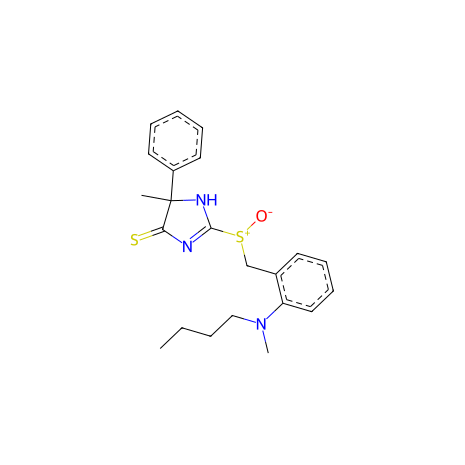 CCCCN(C)c1ccccc1C[S+]([O-])C1=NC(=S)C(C)(c2ccccc2)N1